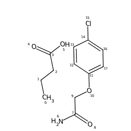 CCCC(=O)O.NC(=O)COc1ccc(Cl)cc1